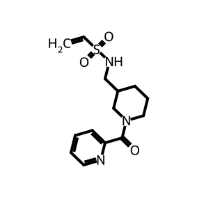 C=CS(=O)(=O)NCC1CCCN(C(=O)c2ccccn2)C1